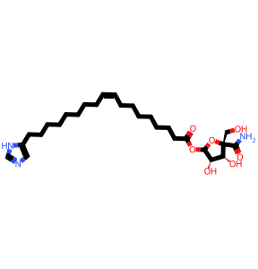 NC(=O)[C@@]1(CO)OC(OC(=O)CCCCCCC/C=C\CCCCCCCCc2cnc[nH]2)[C@@H](O)[C@H]1O